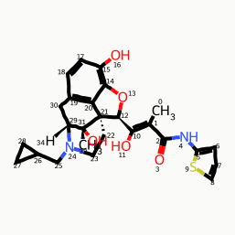 C/C(C(=O)Nc1cccs1)=C(/O)[C@@H]1Oc2c(O)ccc3c2[C@@]12CCN(CC1CC1)[C@H](C3)[C@@]2(C)O